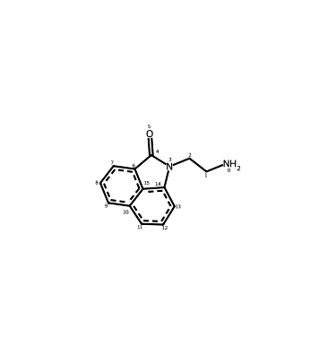 NCCN1C(=O)c2cccc3cccc1c23